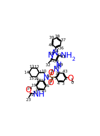 COc1ccc(S(=O)(=O)N(CC2CCCCC2)c2ccc(NC(C)=O)cc2)c(/N=N/c2c(C)nn(-c3ccccc3)c2N)c1